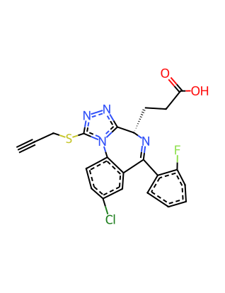 C#CCSc1nnc2n1-c1ccc(Cl)cc1C(c1ccccc1F)=N[C@H]2CCC(=O)O